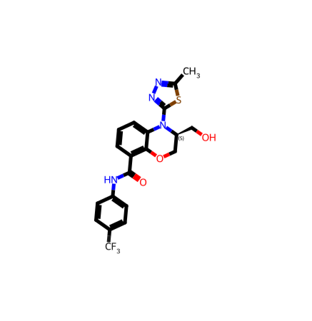 Cc1nnc(N2c3cccc(C(=O)Nc4ccc(C(F)(F)F)cc4)c3OC[C@@H]2CO)s1